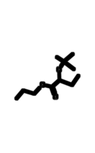 CCCOC(=O)C(CC)OC(C)(C)C